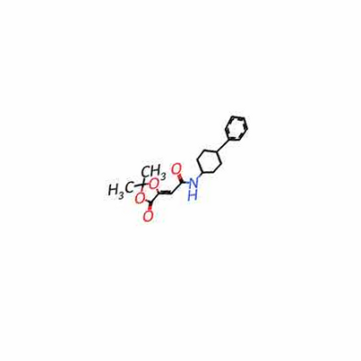 CC1(C)OC(=O)C(=CC(=O)NC2CCC(c3ccccc3)CC2)O1